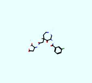 CCOC1OC(=O)CC1NC(=O)CC1(S)CCN(S)CC(NC(=O)c2cccc(F)c2)C1=O